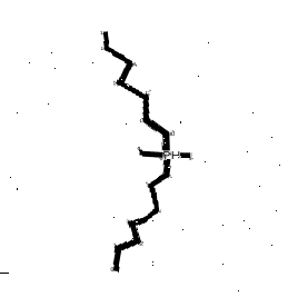 CCCCCCC[PH](C)(C)CCCCCCC